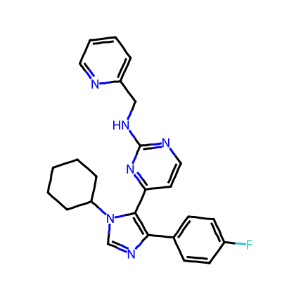 Fc1ccc(-c2ncn(C3CCCCC3)c2-c2ccnc(NCc3ccccn3)n2)cc1